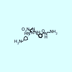 NCCNC(=O)c1cccc(CNc2ncc([N+](=O)[O-])c(NC[C@H]3CC[C@H](CN)CC3)n2)c1